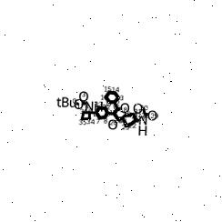 CC(C)(C)OC(=O)NC1(c2ccc(-c3c(-c4ccccc4)oc4c5c(ccc4c3=O)NC(=O)CO5)cc2)CCC1